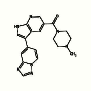 CN1CCN(C(=O)c2cnc3[nH]cc(-c4ccn5ncnc5c4)c3c2)CC1